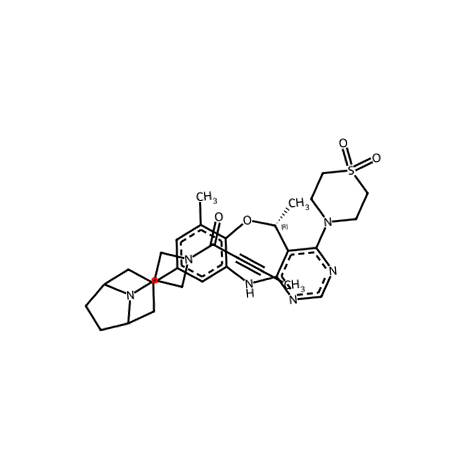 CC#CC(=O)N1CC(N2C3CCC2CC(c2cc(C)c4c(c2)Nc2ncnc(N5CCS(=O)(=O)CC5)c2[C@@H](C)O4)C3)C1